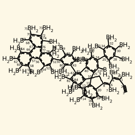 B/C(C#C)=C(B)/C(B)=C1\CC2(c3c(B)c(B)c(B)c(B)c31)c1c(B)c(-c3c(B)c(B)c(B)c(B)c3B)c(B)c(B)c1-c1c(-c3c(B)c(B)c(B)c(-c4c(B)c(B)c5c6c(B)c(B)c(B)c(B)c6c6c(B)c(B)c(B)c(B)c6c5c4B)c3B)c(B)c(B)c(B)c12